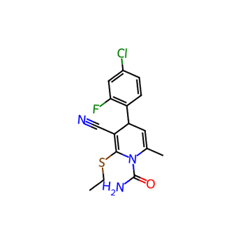 CCSC1=C(C#N)C(c2ccc(Cl)cc2F)C=C(C)N1C(N)=O